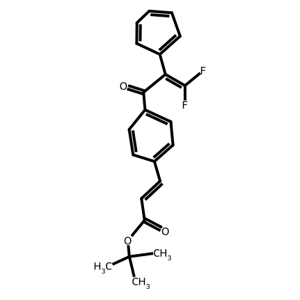 CC(C)(C)OC(=O)C=Cc1ccc(C(=O)C(=C(F)F)c2ccccc2)cc1